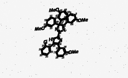 COc1cccc(C2=NC(c3nc(-c4cccc(OC)c4)c(-c4ccccc4Cl)[nH]3)=NC2(c2cccc(OC)c2)c2cccc(OC)c2)c1